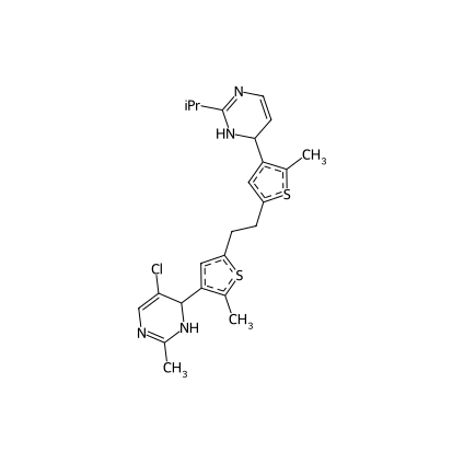 CC1=NC=C(Cl)C(c2cc(CCc3cc(C4C=CN=C(C(C)C)N4)c(C)s3)sc2C)N1